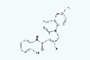 Cc1ccc(N2CC(O)=C(C(=O)Nc3ccccc3C(C)C)C2=O)c(C)c1